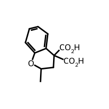 CC1CC(C(=O)O)(C(=O)O)c2ccccc2O1